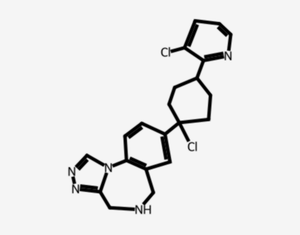 Clc1cccnc1C1CCC(Cl)(c2ccc3c(c2)CNCc2nncn2-3)CC1